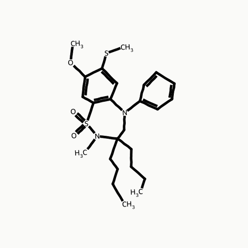 CCCCC1(CCCC)CN(c2ccccc2)c2cc(SC)c(OC)cc2S(=O)(=O)N1C